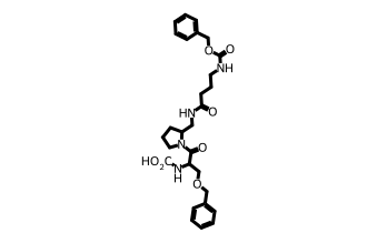 O=C(O)NC(COCc1ccccc1)C(=O)N1CCCC1CNC(=O)CCCNC(=O)OCc1ccccc1